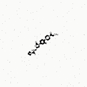 CC(=O)OCC(=O)N1CCN(c2ccc(N3C[C@H](CNC(=S)N4CCC4)OC3=O)cc2F)CC1